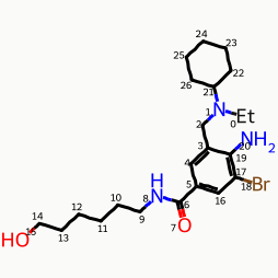 CCN(Cc1cc(C(=O)NCCCCCCO)cc(Br)c1N)C1CCCCC1